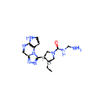 CC[C@@H]1CN(C(=O)NCN)C[C@@H]1c1nnc2cnc3[nH]ccc3n12